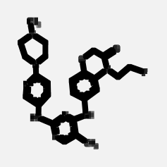 Cc1cnc(Nc2ccc(N3CCN(C)CC3)nc2)nc1Nc1ccc2c(c1)N(CCF)C(=O)CO2